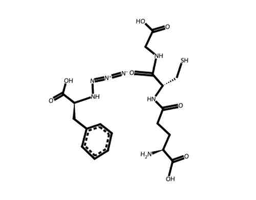 N[C@@H](CCC(=O)N[C@@H](CS)C(=O)NCC(=O)O)C(=O)O.[N-]=[N+]=NN[C@@H](Cc1ccccc1)C(=O)O